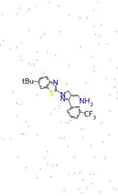 CC(C)(C)c1ccc2nc(N3C/C(=C/N)C(c4cccc(C(F)(F)F)c4)=N3)sc2c1